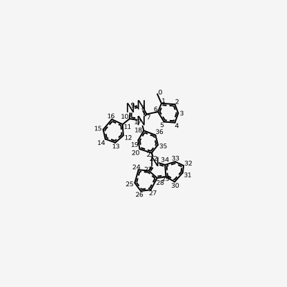 Cc1ccccc1-c1nnc(-c2ccccc2)n1-c1ccc(-n2c3ccccc3c3ccccc32)cc1